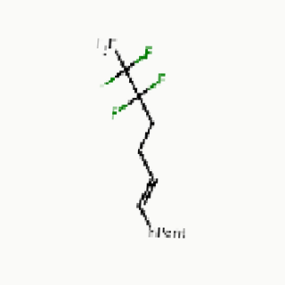 CCCCCC=CCCC(F)(F)C(F)(F)C(F)(F)F